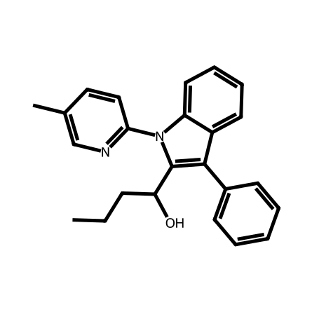 CCCC(O)c1c(-c2ccccc2)c2ccccc2n1-c1ccc(C)cn1